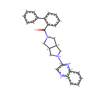 O=C(c1ccccc1-c1ccccc1)N1CC2CN(c3cnc4ccccc4n3)CC2C1